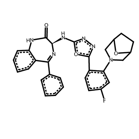 O=C1Nc2ccccc2C(c2ccccc2)=N[C@@H]1Nc1nnc(-c2ccc(F)cc2N2CC3CCC(C2)O3)o1